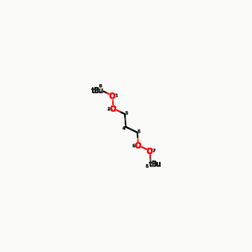 CC(C)(C)OOCCCOOC(C)(C)C